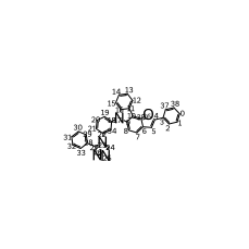 c1ccc(-c2cc3ccc4c(c5ccccc5n4-c4cccc(-n5cnnc5-c5ccccc5)c4)c3o2)cc1